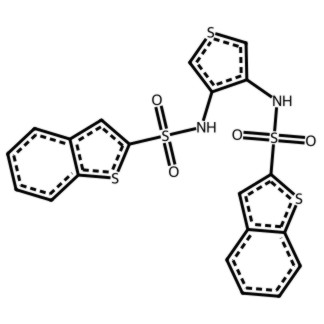 O=S(=O)(Nc1cscc1NS(=O)(=O)c1cc2ccccc2s1)c1cc2ccccc2s1